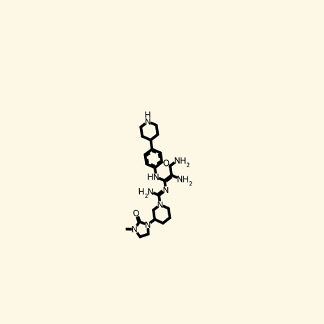 CN1CCN(C2CCCN(/C(N)=N/C(Nc3ccc(C4CCNCC4)cc3)=C(\N)C(N)=O)C2)C1=O